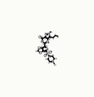 CCCc1c2c(nn1C)C(=O)[N]C(c1sc(S(=O)(=O)N3CCN(C)CC3)c3c1OCO3)=N2